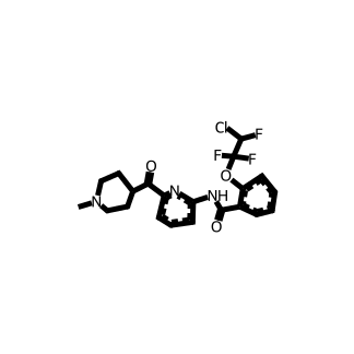 CN1CCC(C(=O)c2cccc(NC(=O)c3ccccc3OC(F)(F)C(F)Cl)n2)CC1